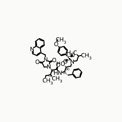 CC[C@H](C)[C@@H](C(=O)N[C@@H](Cc1ccccc1)[C@H](O)CN(CC(C)C)S(=O)(=O)c1ccc(OC)cc1)N1CC(=O)N(Cc2ccnc3ccccc23)C1=O